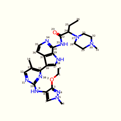 CCOc1nn(C)cc1Nc1ncc(C)c(-c2c[nH]c3c(NC(=O)C(CC)N4CCN(C)CC4)nccc23)n1